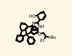 CCCCC(CC)COC1=CC(C2=C3C(CC=C2)c2ccccc2C3(c2ccccc2)c2ccccc2)=NC(C2C=CC=CC2O)N1